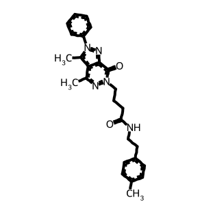 Cc1ccc(CCNC(=O)CCCn2nc(C)c3c(C)n(-c4ccccc4)nc3c2=O)cc1